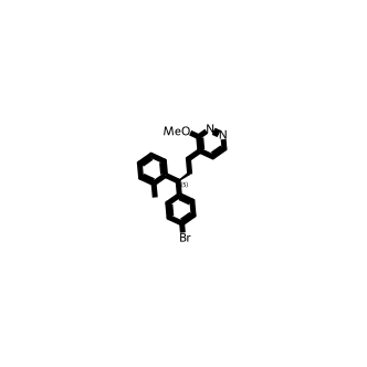 COc1nnccc1CC[C@@H](c1ccc(Br)cc1)c1ccccc1C